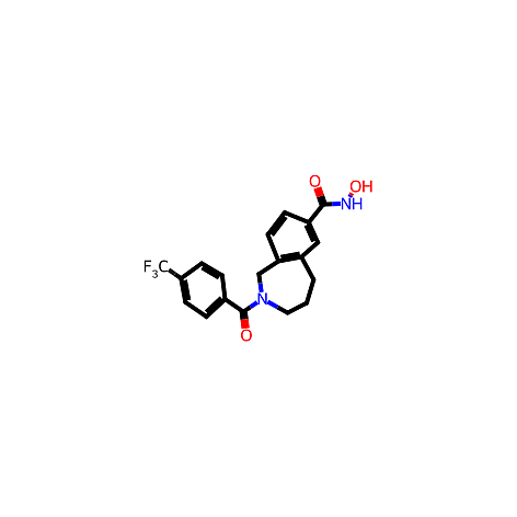 O=C(NO)c1ccc2c(c1)CCCN(C(=O)c1ccc(C(F)(F)F)cc1)C2